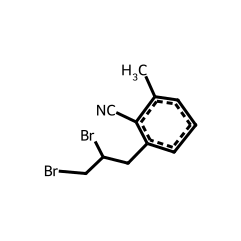 Cc1cccc(CC(Br)CBr)c1C#N